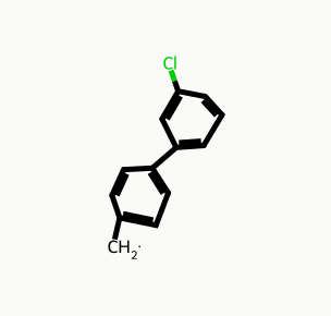 [CH2]c1ccc(-c2cccc(Cl)c2)cc1